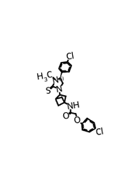 CN1C(=S)N(C2CC3(NC(=O)COc4ccc(Cl)cc4)CC2C3)C[C@@H]1c1ccc(Cl)cc1